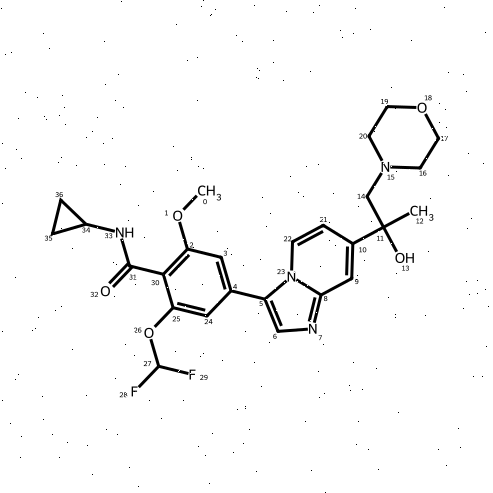 COc1cc(-c2cnc3cc(C(C)(O)CN4CCOCC4)ccn23)cc(OC(F)F)c1C(=O)NC1CC1